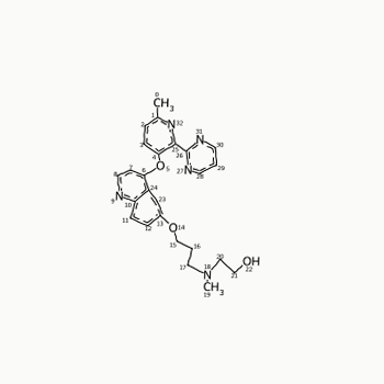 Cc1ccc(Oc2ccnc3ccc(OCCCN(C)CCO)cc23)c(-c2ncccn2)n1